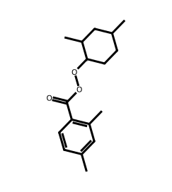 Cc1ccc(C(=O)OO[C]2CCC(C)CC2C)c(C)c1